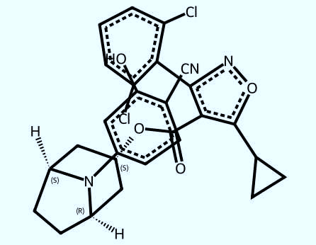 N#Cc1ccc(N2[C@@H]3CC[C@H]2C[C@H](OC(=O)c2c(-c4c(Cl)cccc4Cl)noc2C2CC2)C3)cc1O